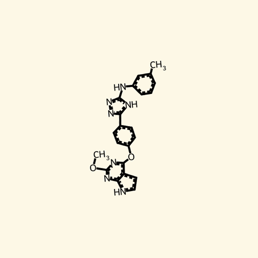 COc1nc(Oc2ccc(-c3nnc(Nc4cccc(C)c4)[nH]3)cc2)c2cc[nH]c2n1